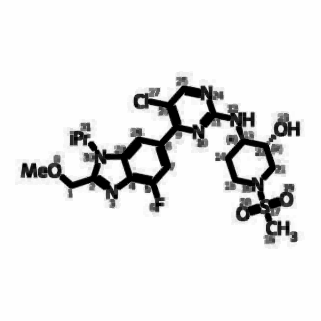 COCc1nc2c(F)cc(-c3nc(N[C@@H]4CCN(S(C)(=O)=O)C[C@H]4O)ncc3Cl)cc2n1C(C)C